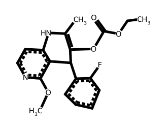 CCOC(=O)OC1=C(C)Nc2ccnc(OC)c2C1c1ccccc1F